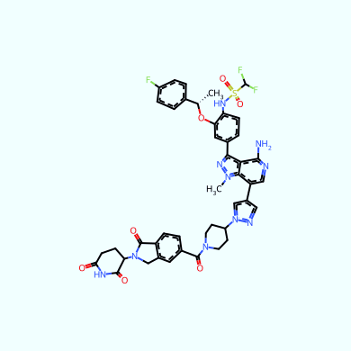 C[C@H](Oc1cc(-c2nn(C)c3c(-c4cnn(C5CCN(C(=O)c6ccc7c(c6)CN(C6CCC(=O)NC6=O)C7=O)CC5)c4)cnc(N)c23)ccc1NS(=O)(=O)C(F)F)c1ccc(F)cc1